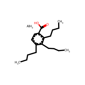 CCCCc1ccc(C(=O)O)c(CCCC)c1CCCC.[AlH3]